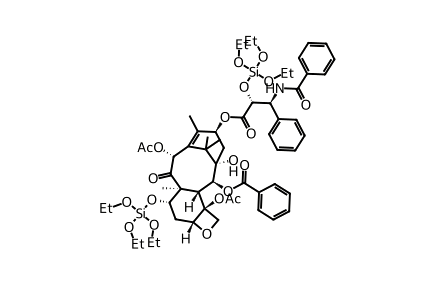 CCO[Si](OCC)(OCC)O[C@H]1C[C@H]2OC[C@@]2(OC(C)=O)[C@H]2[C@H](OC(=O)c3ccccc3)[C@]3(O)C[C@H](OC(=O)[C@H](O[Si](OCC)(OCC)OCC)[C@@H](NC(=O)c4ccccc4)c4ccccc4)C(C)=C([C@@H](OC(C)=O)C(=O)[C@]12C)C3(C)C